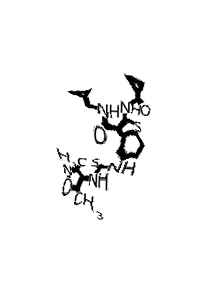 Cc1noc(C)c1NC(=S)N[C@H]1CCc2sc(NC(=O)C3CC3)c(C(=O)NCC3CC3)c2C1